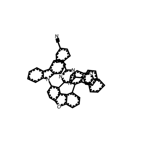 N#Cc1ccc(-c2nc(-c3ccccc3)nc(-c3c(-n4c5ccccc5c5ccccc54)ccc4oc5cccc(-c6cccc7oc8ccccc8c67)c5c34)n2)cc1